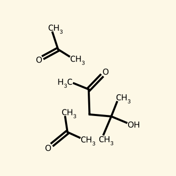 CC(=O)CC(C)(C)O.CC(C)=O.CC(C)=O